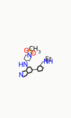 CCNCc1cccc(-c2cc(NC3CCN(S(C)(=O)=O)CC3)c3cnccc3c2)c1